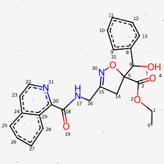 CCOC(=O)C1(C(O)c2ccccc2)CC(CNC(=O)c2nccc3ccccc23)=NO1